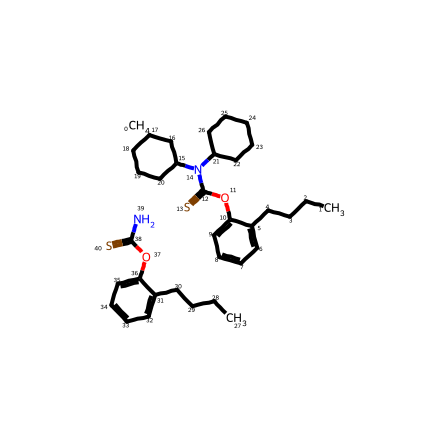 C.CCCCc1ccccc1OC(=S)N(C1CCCCC1)C1CCCCC1.CCCCc1ccccc1OC(N)=S